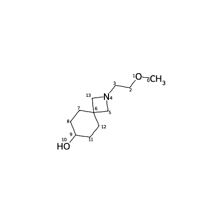 COCCN1CC2(CCC(O)CC2)C1